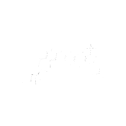 CP(C)(=O)c1cc(OC(F)F)ccc1Nc1nc(Nc2ccc3c(c2)CC[C@@H](N2CC4C5C2C45C#N)CC3)ncc1Cl